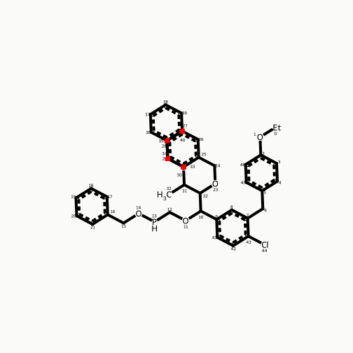 CCOc1ccc(Cc2cc(C(OCPOCc3ccccc3)C(OCc3ccccc3)C(C)OCc3ccccc3)ccc2Cl)cc1